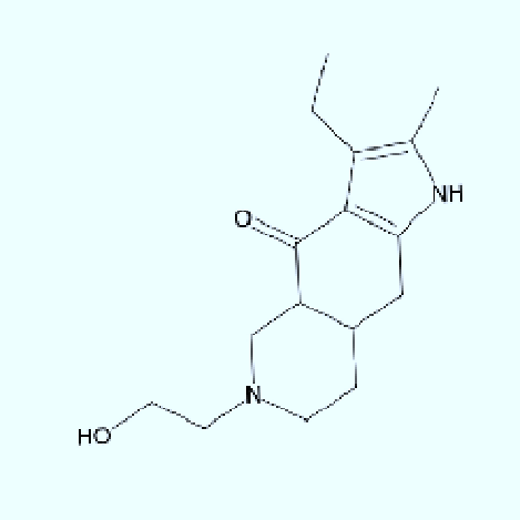 CCc1c(C)[nH]c2c1C(=O)C1CN(CCO)CCC1C2